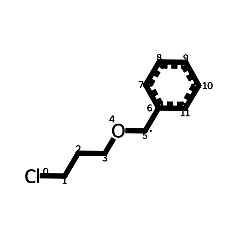 ClCCCO[CH]c1ccccc1